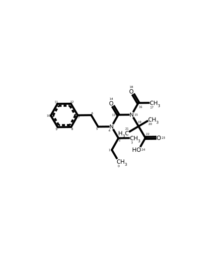 CCC(C)N(CCc1ccccc1)C(=O)N(C(C)=O)C(C)(C)C(=O)O